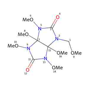 COCN1C(=O)N(OC)C2(OC)N(OC)C(=O)N(OC)C12OC